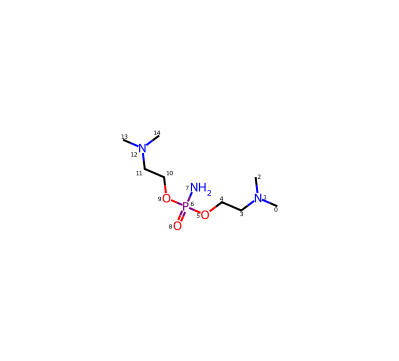 CN(C)CCOP(N)(=O)OCCN(C)C